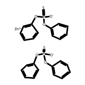 [O-]P(=S)(Oc1ccccc1)Oc1ccccc1.[O-]P(=S)(Oc1ccccc1)Oc1ccccc1.[Zn+2]